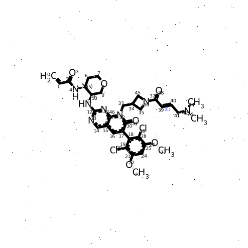 C=CC(=O)N[C@H]1CCOC[C@H]1Nc1ncc2cc(-c3c(Cl)c(OC)cc(OC)c3Cl)c(=O)n(CC3CN(C(=O)/C=C/CN(C)C)C3)c2n1